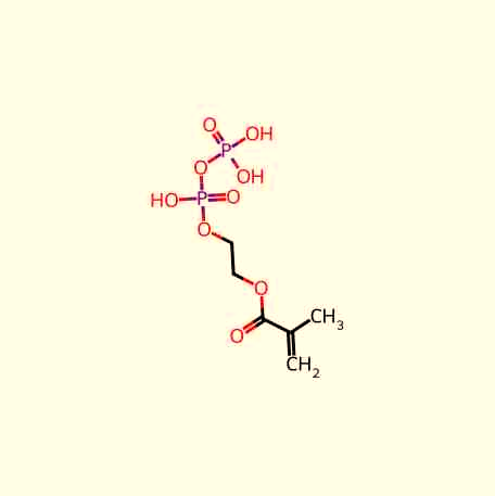 C=C(C)C(=O)OCCOP(=O)(O)OP(=O)(O)O